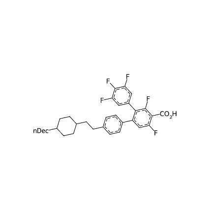 CCCCCCCCCCC1CCC(CCc2ccc(-c3cc(F)c(C(=O)O)c(F)c3-c3cc(F)c(F)c(F)c3)cc2)CC1